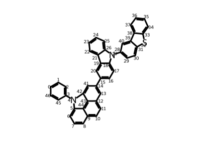 c1ccc(-n2c3cccc4ccc5cc(-c6ccc7c(c6)c6ccccc6n7-c6ccc7sc8ccccc8c7c6)cc2c5c43)cc1